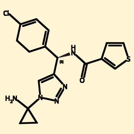 NC1(n2cc([C@@H](NC(=O)c3ccsc3)C3=CC=C(Cl)CC3)nn2)CC1